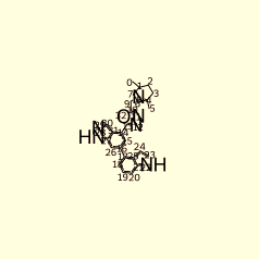 CC12CCC(C)(CC1)N2Cc1nnc(-c2cc(-c3cccc4[nH]ccc34)cc3[nH]ncc23)o1